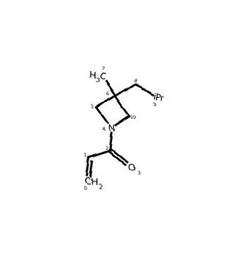 C=CC(=O)N1CC(C)(CC(C)C)C1